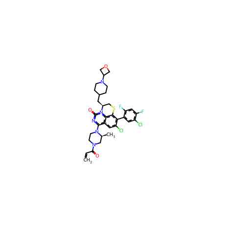 C=CC(=O)N1CCN(c2nc(=O)n3c4c(c(-c5cc(Cl)c(F)cc5F)c(Cl)cc24)SC[C@@H]3CC2CCN(C3COC3)CC2)[C@@H](C)C1